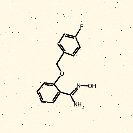 N/C(=N\O)c1ccccc1OCc1ccc(F)cc1